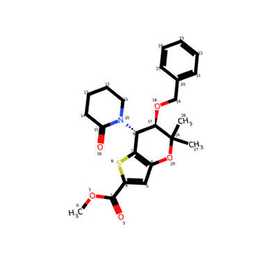 COC(=O)c1cc2c(s1)[C@H](N1CCCCC1=O)[C@@H](OCc1ccccc1)C(C)(C)O2